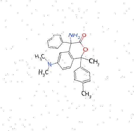 Cc1ccc(C2(C)OC(=O)C(N)(c3ccccc3)c3cc(N(C)C)ccc32)cc1